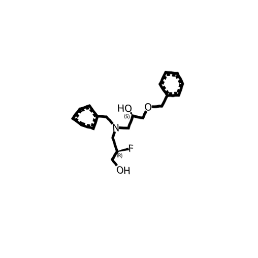 OC[C@H](F)CN(Cc1ccccc1)C[C@H](O)COCc1ccccc1